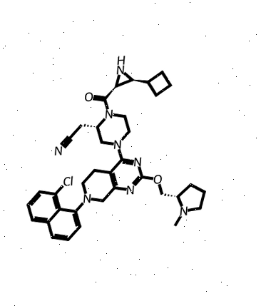 CN1CCC[C@H]1COc1nc2c(c(N3CCN(C(=O)[C@H]4N[C@H]4C4CCC4)[C@@H](CC#N)C3)n1)CCN(c1cccc3cccc(Cl)c13)C2